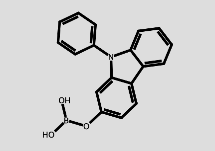 OB(O)Oc1ccc2c3ccccc3n(-c3ccccc3)c2c1